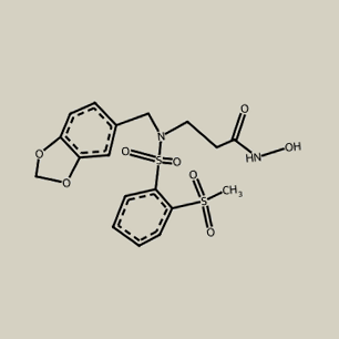 CS(=O)(=O)c1ccccc1S(=O)(=O)N(CCC(=O)NO)Cc1ccc2c(c1)OCO2